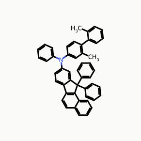 Cc1ccccc1-c1ccc(N(c2ccccc2)c2ccc3c(c2)C(c2ccccc2)(c2ccccc2)c2c-3ccc3ccccc23)cc1C